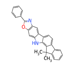 CC1(C)c2ccccc2-c2ccc3c([nH]c4cc5oc(-c6ccccc6)nc5cc43)c21